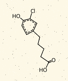 O=C(O)CCCCc1ccc(O)c(Cl)c1